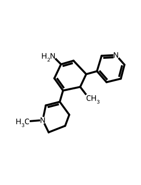 CC1C(C2=CN(C)CCC2)=CC(N)=CC1c1cccnc1